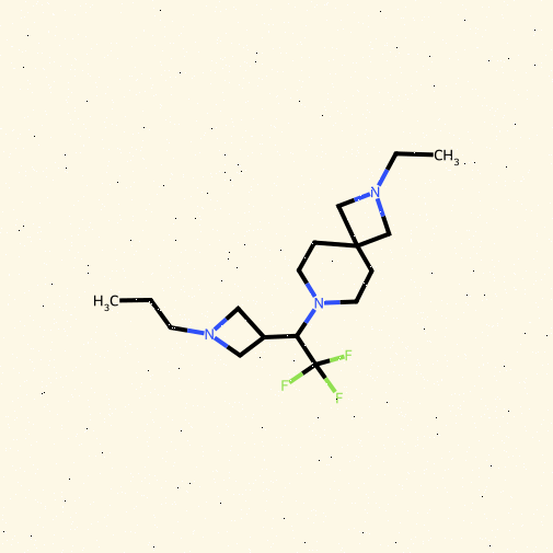 CCCN1CC(C(N2CCC3(CC2)CN(CC)C3)C(F)(F)F)C1